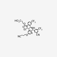 CC[C@@H]1C[C@H](NC(c2cc(C#N)cc(C(F)(F)F)c2)c2ncc(OCCCC#N)cn2)c2cc(C(F)(F)F)ccc2N1C(=O)OCCC(=O)O